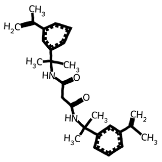 C=C(C)c1cccc(C(C)(C)NC(=O)CC(=O)NC(C)(C)c2cccc(C(=C)C)c2)c1